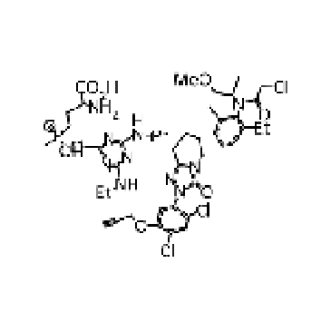 C#CCOc1cc(-n2nc3n(c2=O)CCCC3)c(Cl)cc1Cl.CCNc1nc(Cl)nc(NC(C)C)n1.CCc1cccc(C)c1N(C(=O)CCl)C(C)COC.CP(=O)(O)CCC(N)C(=O)O